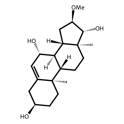 CO[C@@H]1C[C@H]2[C@@H]3[C@@H](O)C=C4C[C@H](O)CC[C@]4(C)[C@H]3CC[C@]2(C)[C@H]1O